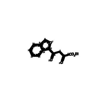 CCOC(=O)C(=O)CC(=O)c1occ2ccccc12